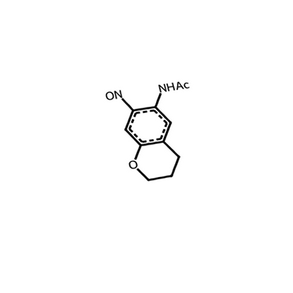 CC(=O)Nc1cc2c(cc1N=O)OCCC2